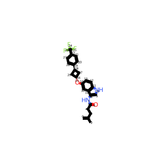 C=C(C)CCC(=O)Nc1c[nH]c2ccc(O[C@H]3C[C@H](c4ccc(C(F)(F)F)cc4)C3)cc12